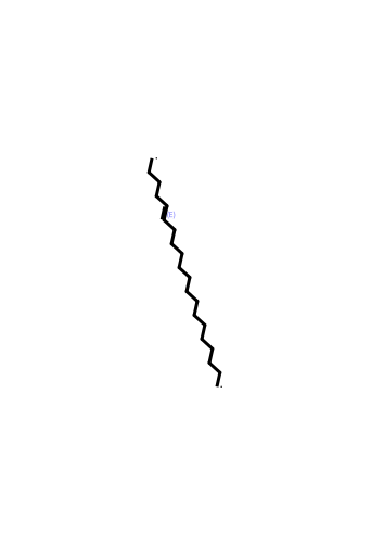 [CH2]CCC/C=C/CCCCCCCCCCCCC[CH2]